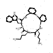 CN1C(=O)[C@H](CCCN)NC(=O)[C@H](CCCN)NCc2ccccc2Sc2ccccc2CNC(=O)[C@@H]1Cc1c[nH]c2ccccc12